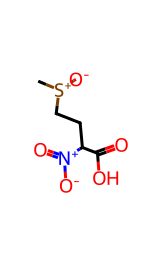 C[S+]([O-])CCC(C(=O)O)[N+](=O)[O-]